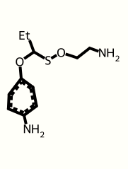 CCC(Oc1ccc(N)cc1)SOCCN